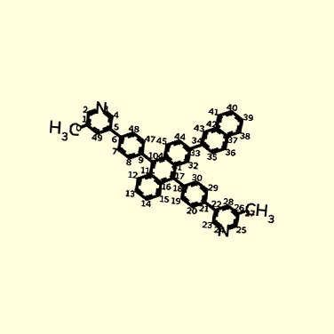 Cc1cncc(-c2ccc(-c3c4ccccc4c(-c4ccc(-c5cncc(C)c5)cc4)c4cc(-c5ccc6ccccc6c5)ccc34)cc2)c1